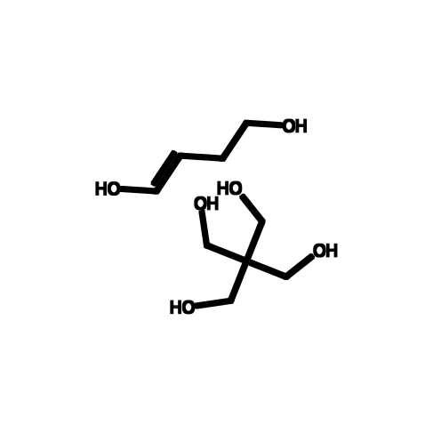 OC=CCCO.OCC(CO)(CO)CO